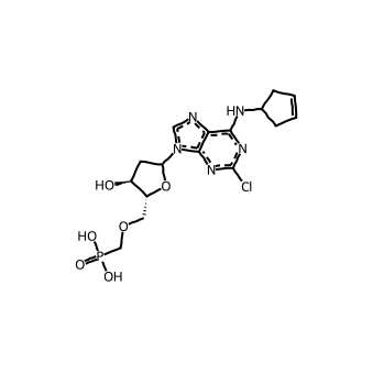 O=P(O)(O)COC[C@H]1OC(n2cnc3c(NC4CC=CC4)nc(Cl)nc32)C[C@@H]1O